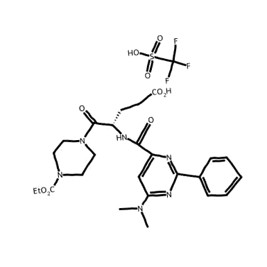 CCOC(=O)N1CCN(C(=O)[C@H](CCC(=O)O)NC(=O)c2cc(N(C)C)nc(-c3ccccc3)n2)CC1.O=S(=O)(O)C(F)(F)F